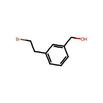 OCc1cccc(CCBr)c1